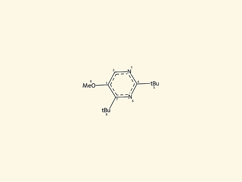 COc1cnc(C(C)(C)C)nc1C(C)(C)C